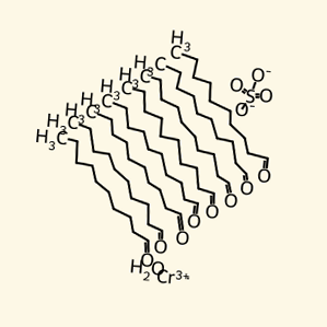 CCCCCCCCCC=O.CCCCCCCCCC=O.CCCCCCCCCC=O.CCCCCCCCCC=O.CCCCCCCCCC=O.CCCCCCCCCC=O.CCCCCCCCCC=O.CCCCCCCCCC=O.O.O=S(=O)([O-])[O-].[Cr+3]